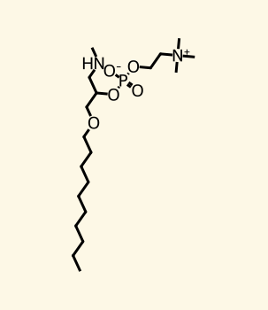 CCCCCCCCCCOCC(CNC)OP(=O)([O-])OCC[N+](C)(C)C